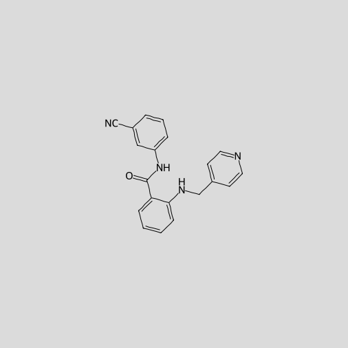 N#Cc1cccc(NC(=O)c2ccccc2NCc2ccncc2)c1